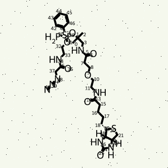 CC(C)(CNC(=O)CCOCCNC(=O)CCCC[C@@H]1SC[C@@H]2NC(=O)N[C@@H]21)O[Si](P)(OCCNC(=O)CN=[N+]=[N-])c1ccccc1